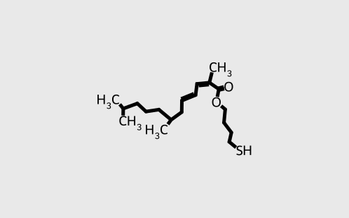 CC(=CC=CCC(C)CCCC(C)C)C(=O)OCCCCS